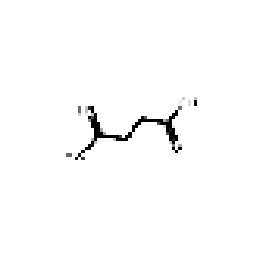 CC(=N)CCC(=O)O